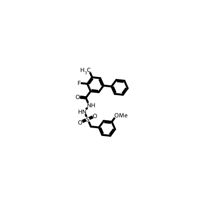 COc1cccc(CS(=O)(=O)NNC(=O)c2cc(-c3ccccc3)cc(C)c2F)c1